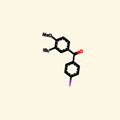 COc1ccc(C(=O)c2ccc(I)cc2)cc1C(C)(C)C